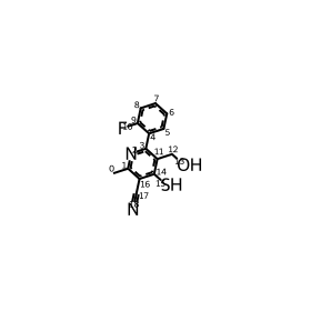 Cc1nc(-c2ccccc2F)c(CO)c(S)c1C#N